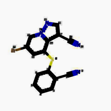 N#Cc1ccccc1Sc1cc(Br)cn2ncc(C#N)c12